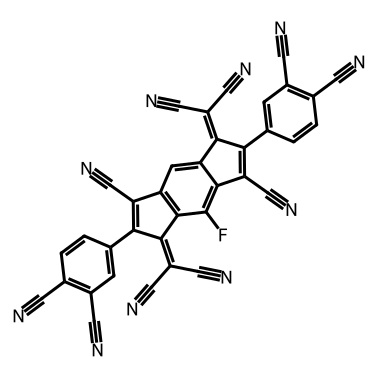 N#CC(C#N)=C1C(c2ccc(C#N)c(C#N)c2)=C(C#N)c2c1cc1c(c2F)C(=C(C#N)C#N)C(c2ccc(C#N)c(C#N)c2)=C1C#N